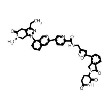 CCc1nn(-c2cccc3cc(-c4ccc(C(=O)NCc5cc(-c6cccc7c6CN(C6CCC(=O)NC6=O)C7=O)on5)nc4)ncc23)c2c1CC(=O)N(C)C2